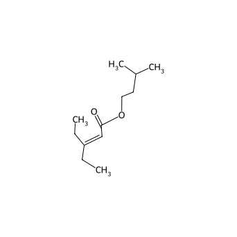 CCC(=CC(=O)OCCC(C)C)CC